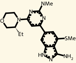 CC[C@@H]1COCCN1c1cc(-c2cc(SC)c3c(N)n[nH]c3c2)nc(NC)n1